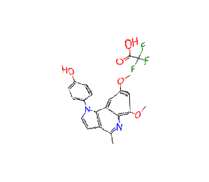 COc1cc(OC)c2nc(C)c3ccn(-c4ccc(O)cc4)c3c2c1.O=C(O)C(F)(F)F